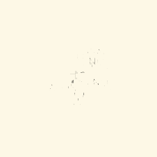 CC(=O)OCC(=O)[C@]1(O[N+](=O)[O-])[C@@H](C)C[C@H]2[C@@H]3C=C(OC(C)=O)C4=CC(=O)C=C[C@]4(C)[C@@]3(F)[C@@H](O[N+](=O)[O-])C[C@@]21C